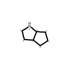 [CH]1CCC2NCCC12